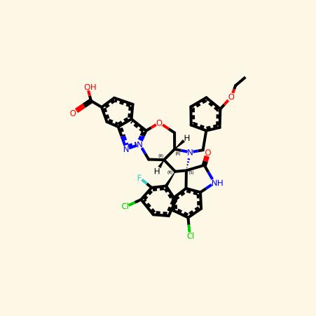 CCOc1cccc(CN2[C@H]3COc4c5ccc(C(=O)O)cc5nn4C[C@H]3[C@H](c3cccc(Cl)c3F)[C@]23C(=O)Nc2cc(Cl)ccc23)c1